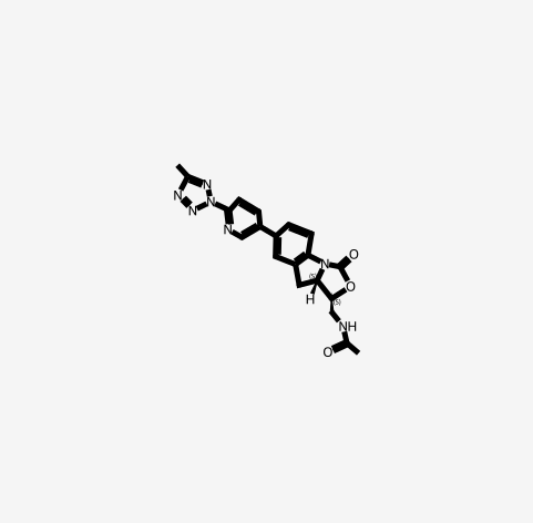 CC(=O)NC[C@@H]1OC(=O)N2c3ccc(-c4ccc(-n5nnc(C)n5)nc4)cc3C[C@@H]12